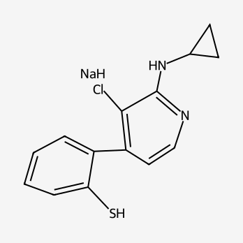 Sc1ccccc1-c1ccnc(NC2CC2)c1Cl.[NaH]